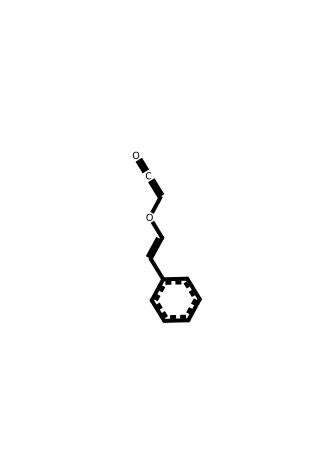 O=C=COC=Cc1ccccc1